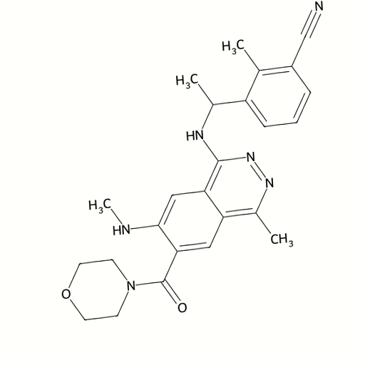 CNc1cc2c(NC(C)c3cccc(C#N)c3C)nnc(C)c2cc1C(=O)N1CCOCC1